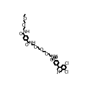 CCOCCOCCNC(=O)c1ccc(C(=O)NCCOCCOCCOCCNS(=O)(=O)c2ccc(C3CN(C)Cc4c(Cl)cc(Cl)cc43)cc2)cc1